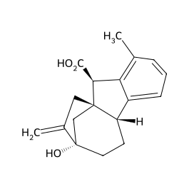 C=C1C[C@]23C[C@@]1(O)CC[C@H]2c1cccc(C)c1[C@@H]3C(=O)O